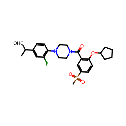 CC(C=O)c1ccc(N2CCN(C(=O)c3cc(S(C)(=O)=O)ccc3OC3CCCC3)CC2)c(F)c1